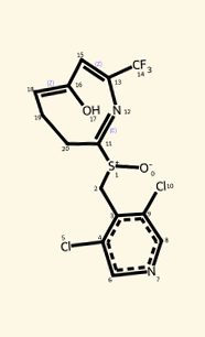 [O-][S+](Cc1c(Cl)cncc1Cl)/C1=N/C(C(F)(F)F)=C\C(O)=C\CC1